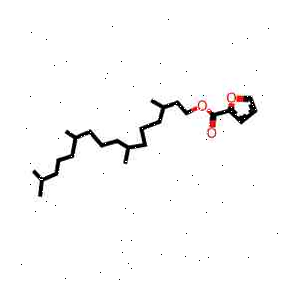 CC(C)CCCC(C)CCCC(C)CCCC(C)CCOC(=O)c1ccco1